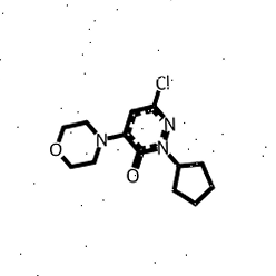 O=c1c(N2CCOCC2)cc(Cl)nn1C1CCCC1